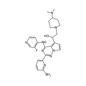 Bc1cccc(-c2nc(Nc3ccncc3F)c3c(C(O)CN4CCC(N(C)C)CC4)ccn3n2)n1